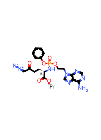 CC(C)OC(=O)[C@H](CCC(=O)C=[N+]=[N-])NP(=O)(OCCn1cnc2c(N)ncnc21)Oc1ccccc1